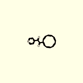 O=C(C(=O)c1ccncc1)C1=C/C=C\C=C/C=C\C=C/C=C\1